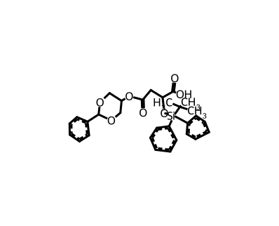 CC(C)(C)[Si](OC(CC(=O)OC1COC(c2ccccc2)OC1)C(=O)O)(c1ccccc1)c1ccccc1